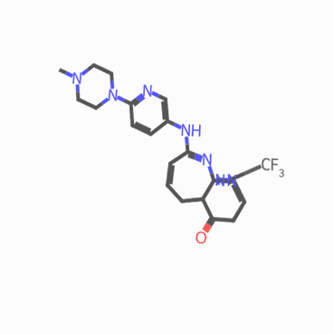 CN1CCN(c2ccc(NC3=NC45N=CN=C(C(F)(F)F)C4=CCC(=O)C5CC=C3)cn2)CC1